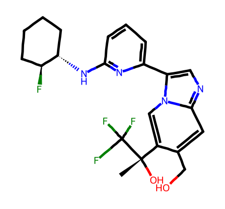 C[C@](O)(c1cn2c(-c3cccc(N[C@H]4CCCC[C@@H]4F)n3)cnc2cc1CO)C(F)(F)F